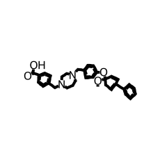 COC1(Oc2ccc(CN3CCCN(Cc4ccc(C(=O)O)cc4)CC3)cc2)C=CC(c2ccccc2)=CC1